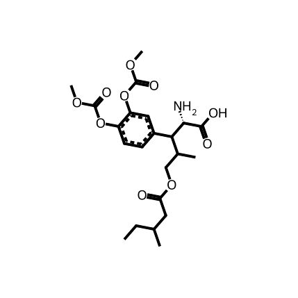 CCC(C)CC(=O)OCC(C)C(c1ccc(OC(=O)OC)c(OC(=O)OC)c1)[C@H](N)C(=O)O